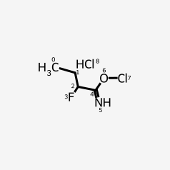 CCC(F)C(=N)OCl.Cl